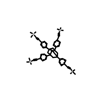 C[Si](C)(C)C#Cc1ccc(C23CC4(c5ccc(C#C[Si](C)(C)C)cc5)CC(c5ccc(C#C[Si](C)(C)C)cc5)(C2)CC(c2ccc(C#C[Si](C)(C)C)cc2)(C3)C4)cc1